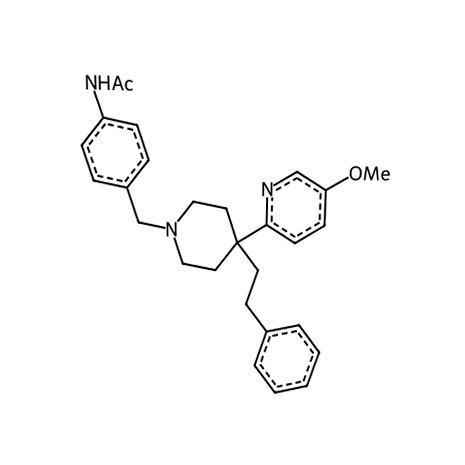 COc1ccc(C2(CCc3ccccc3)CCN(Cc3ccc(NC(C)=O)cc3)CC2)nc1